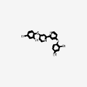 CCc1ccc(Sc2ccnc(-c3cc(Sc4ccc(CC)cc4CC)ccn3)c2)c(CC)c1